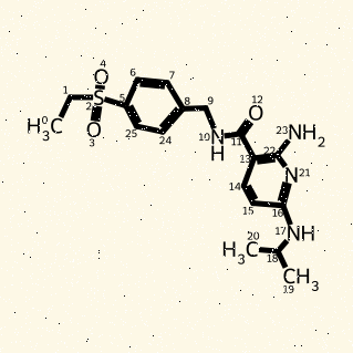 CCS(=O)(=O)c1ccc(CNC(=O)c2ccc(NC(C)C)nc2N)cc1